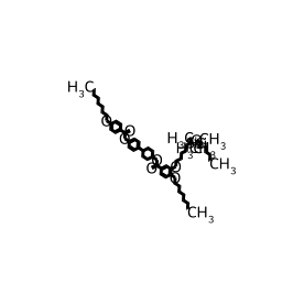 CCCCCCCCOc1ccc(C(=O)Oc2ccc(C3CCC(OC(=O)c4ccc(OCCCCCCCC)c(OCCCCC[Si](C)(C)O[Si](C)(C)CCCCC)c4)CC3)cc2)cc1